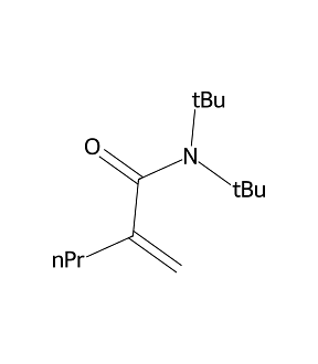 C=C(CCC)C(=O)N(C(C)(C)C)C(C)(C)C